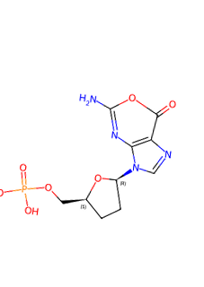 Nc1nc2c(ncn2[C@H]2CC[C@@H](COP(=O)(O)O)O2)c(=O)o1